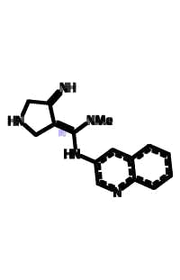 CN/C(Nc1cnc2ccccc2c1)=C1/CNCC1=N